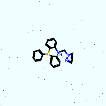 CN(Cn1cccn1)c1ccccc1P(c1ccccc1)c1ccccc1